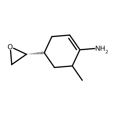 CC1CC([C@@H]2CO2)CC=C1N